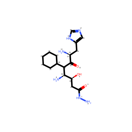 NNC(=O)C[C@H](O)[C@@H](N)C(C(=O)[C@@H](N)Cc1cnc[nH]1)C1CCCCC1